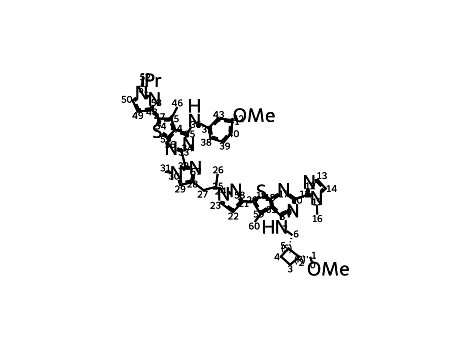 COC[C@@H]1CC[C@@H]1CNc1nc(-c2nccn2C)nc2sc(-c3ccn(C(C)Cc4cn(C)c(-c5nc(Nc6cccc(OC)c6)c6c(C)c(-c7ccn(C(C)C)n7)sc6n5)n4)n3)c(C)c12